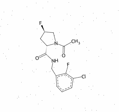 CC(=O)N1C[C@H](F)C[C@H]1C(=O)NCc1cccc(Cl)c1F